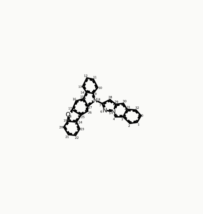 c1ccc2cn3nc(-n4c5ccccc5c5cc6oc7ccccc7c6cc54)cc3cc2c1